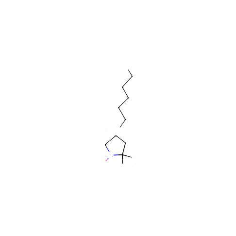 CC(=O)C1(C(=O)O)CCCN1O.CCCCCCCCCCCCCCCC(=O)O